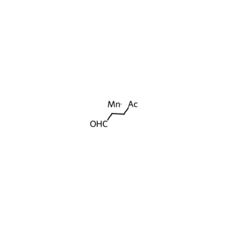 CC(=O)CCC=O.[Mn]